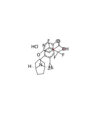 Cl.O=C(O)c1cc(C2CC2)c(CN2[C@@H]3CC[C@H]2C[C@H](Oc2cc(C(F)(F)F)c(Cl)cn2)C3)cc1F